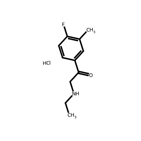 CCNCC(=O)c1ccc(F)c(C)c1.Cl